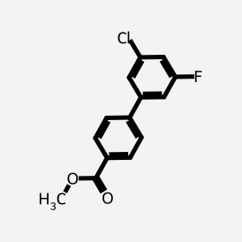 COC(=O)c1ccc(-c2cc(F)cc(Cl)c2)cc1